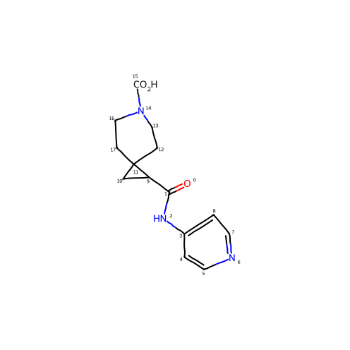 O=C(Nc1ccncc1)C1CC12CCN(C(=O)O)CC2